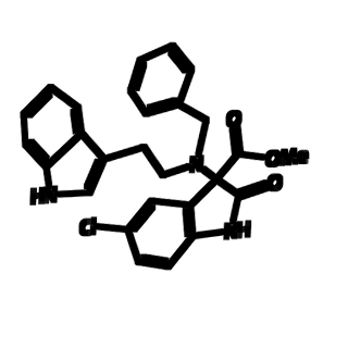 COC(=O)C1(N(CCc2c[nH]c3ccccc23)Cc2ccccc2)C(=O)Nc2ccc(Cl)cc21